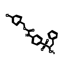 CN(Cc1ccccc1)S(=O)(=O)c1ccc(NC(=O)OCc2ccc(Cl)cc2)cc1